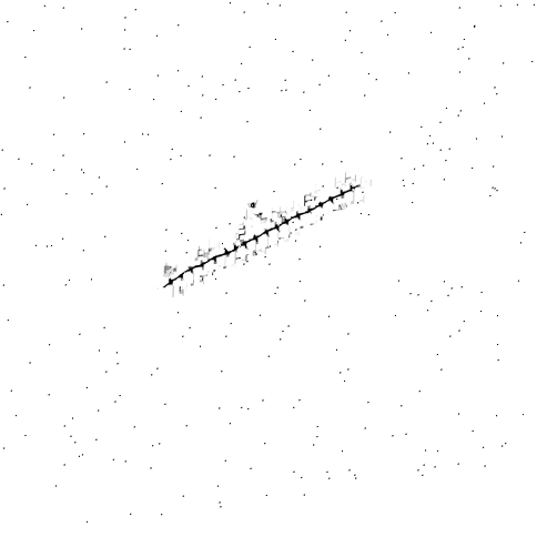 BrC(Br)(Br)C(Br)(Br)C(Br)(Br)C(Br)(Br)C(Br)(Br)C(Br)(Br)C(Br)(Br)C(Br)(Br)C(Br)(Br)C(Br)(Br)C(Br)(Br)C(Br)(Br)C(Br)(Br)C(Br)(Br)C(Br)(Br)C(Br)(Br)C(Br)(Br)C(Br)(Br)Br.O=[SH](=O)O